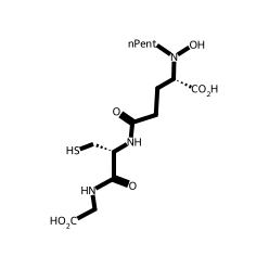 CCCCCN(O)[C@@H](CCC(=O)N[C@@H](CS)C(=O)NCC(=O)O)C(=O)O